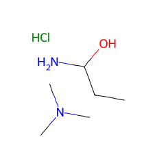 CCC(N)O.CN(C)C.Cl